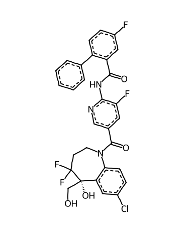 O=C(Nc1ncc(C(=O)N2CCC(F)(F)[C@](O)(CO)c3cc(Cl)ccc32)cc1F)c1cc(F)ccc1-c1ccccc1